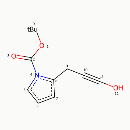 CC(C)(C)OC(=O)n1cccc1CC#CO